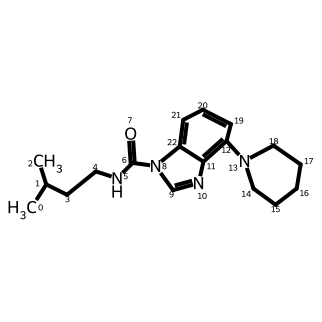 CC(C)CCNC(=O)n1cnc2c(N3CCCCC3)cccc21